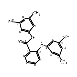 Cc1cc(OC(=O)c2ccccc2Oc2cc(C)cc(C(C)C)c2)cc(C(C)C)c1